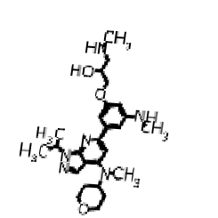 CNCC(O)COc1cc(NC)cc(-c2cc(N(C)C3CCOCC3)c3cnn(C(C)C)c3n2)c1